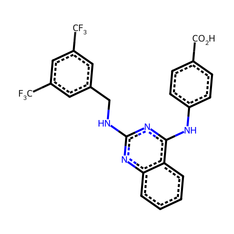 O=C(O)c1ccc(Nc2nc(NCc3cc(C(F)(F)F)cc(C(F)(F)F)c3)nc3ccccc23)cc1